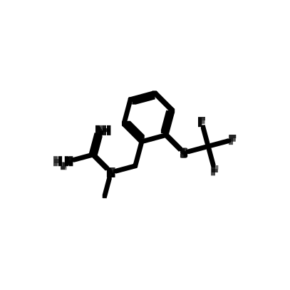 CN(Cc1ccccc1SC(F)(F)F)C(=N)N